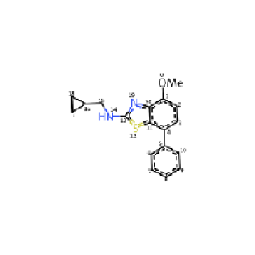 COc1ccc(-c2ccccc2)c2sc(NCC3CC3)nc12